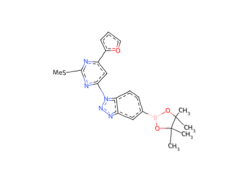 CSc1nc(-c2ccco2)cc(-n2nnc3cc(B4OC(C)(C)C(C)(C)O4)ccc32)n1